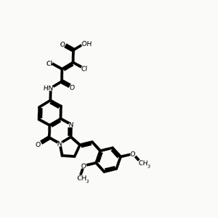 COc1ccc(OC)c(C=C2CCn3c2nc2cc(NC(=O)C(Cl)=C(Cl)C(=O)O)ccc2c3=O)c1